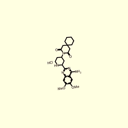 COc1cc2nc(C3CC(N4C(=O)CC5(CCCCC5)CC4=O)CCN3)nc(N)c2cc1OC.Cl